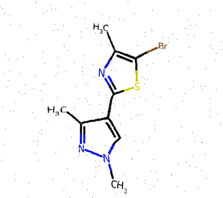 Cc1nn(C)cc1-c1nc(C)c(Br)s1